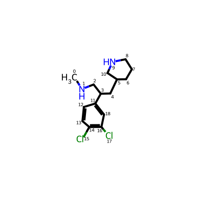 CNCC(CC1CCCNC1)c1ccc(Cl)c(Cl)c1